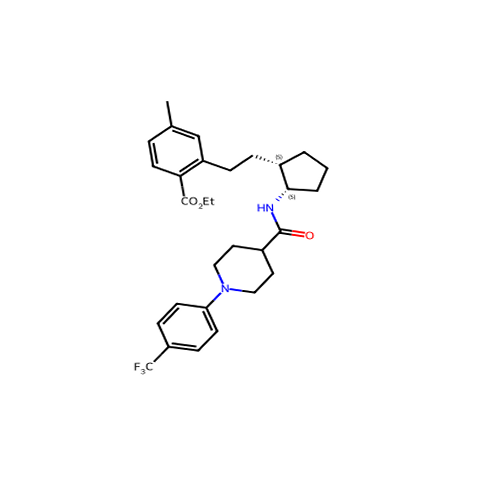 CCOC(=O)c1ccc(C)cc1CC[C@@H]1CCC[C@@H]1NC(=O)C1CCN(c2ccc(C(F)(F)F)cc2)CC1